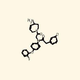 NC1C=CCN(C(=O)CN(C(=O)Cc2cccc(Cl)c2)c2ccc(Oc3ccccc3F)cc2)CC1